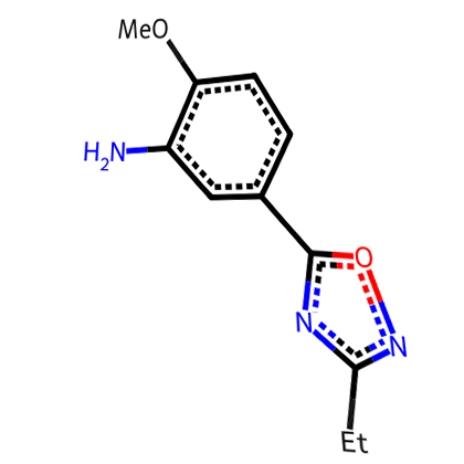 CCc1noc(-c2ccc(OC)c(N)c2)n1